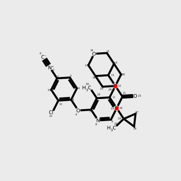 [C-]#[N+]c1ccc(Oc2ncnc(OC3C4COCC3CN(C(=O)OC3(C)CC3)C4)c2C)c(Cl)c1